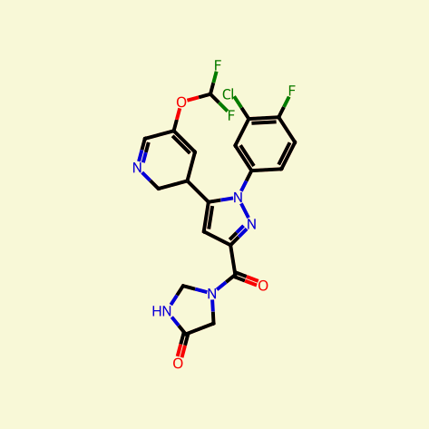 O=C1CN(C(=O)c2cc(C3C=C(OC(F)F)C=NC3)n(-c3ccc(F)c(Cl)c3)n2)CN1